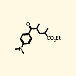 CCOC(=O)C(C)CC(C)C(=O)c1ccc(N(C)C)cc1